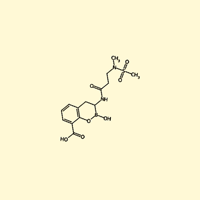 CN(CCC(=O)NC1Cc2cccc(C(=O)O)c2OB1O)S(C)(=O)=O